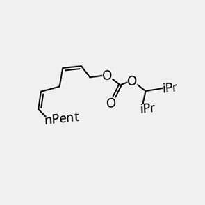 CCCCC/C=C\C/C=C\COC(=O)OC(C(C)C)C(C)C